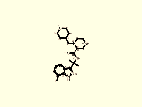 Cc1cccc2c(C(C)(C)NC(=O)[C@@H]3CNCCN3CC3CCOCC3)n[nH]c12